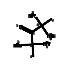 CCCCC(C)(CCC)C(=O)C(C)(CCC)CCCC